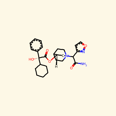 NC(=O)C(c1ccon1)[N+]12CCC(CC1)[C@@H](OC(=O)[C@](O)(c1ccccc1)C1CCCCC1)C2